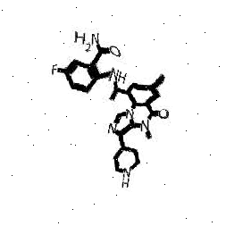 Cc1cc(C(C)Nc2ccc(F)cc2C(N)=O)c2c(c1)c(=O)n(C)c1c(C3CCNCC3)ncn21